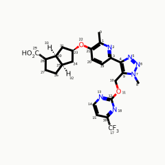 Cc1nc(-c2nnn(C)c2COc2nccc(C(F)(F)F)n2)ccc1O[C@H]1C[C@H]2CCC(C(=O)O)[C@H]2C1